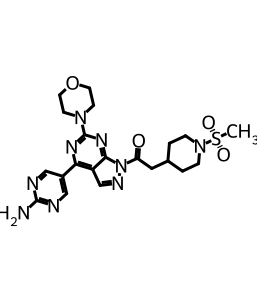 CS(=O)(=O)N1CCC(CC(=O)n2ncc3c(-c4cnc(N)nc4)nc(N4CCOCC4)nc32)CC1